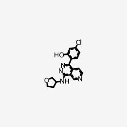 Oc1cc(Cl)ccc1-c1nnc(NC2CCOC2)c2cnccc12